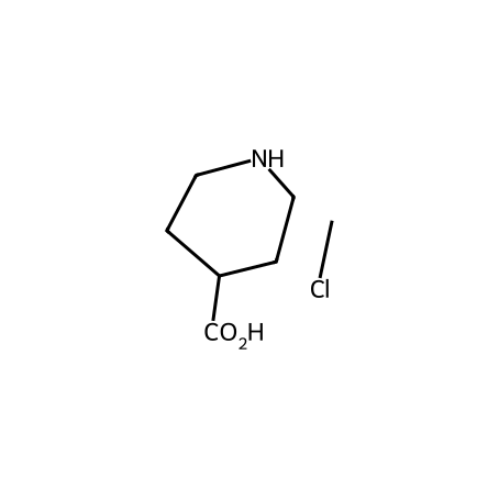 CCl.O=C(O)C1CCNCC1